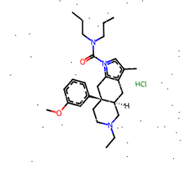 CCCN(CCC)C(=O)n1cc(C)c2c1C[C@@]1(c3cccc(OC)c3)CCN(CC)C[C@@H]1C2.Cl